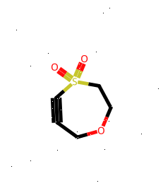 O=S1(=O)C#CCOCC1